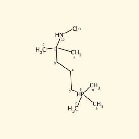 CC(C)(CCC[PH](C)(C)C)NCl